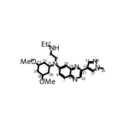 CCNCCN(c1ccc2ncc(-c3cnn(C)c3)nc2c1)C1CC(OC)CC(OC)C1